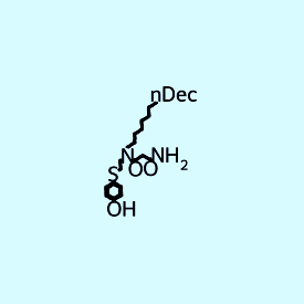 CCCCCCCCCCCCCCCCCCN(CCSc1ccc(O)cc1)C(=O)CC(N)=O